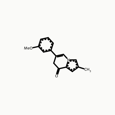 COc1cccc(C2=Cn3cc(C)cc3C(=O)C2)c1